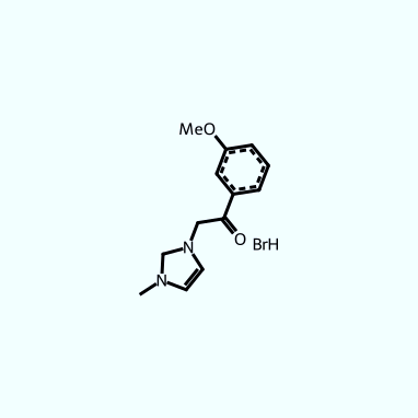 Br.COc1cccc(C(=O)CN2C=CN(C)C2)c1